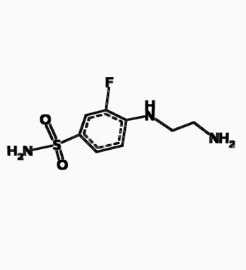 NCCNc1ccc(S(N)(=O)=O)cc1F